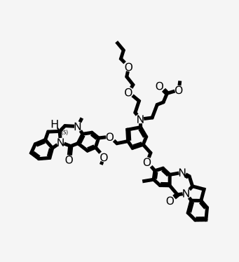 CCCOCCOCCN(CCCC(=O)OC)c1cc(COc2cc3c(cc2C)C(=O)N2c4ccccc4CC2C=N3)cc(COc2cc3c(cc2OC)C(=O)N2c4ccccc4C[C@H]2CN3C)c1